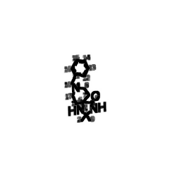 CC1(C)NC(=O)C2(CCN(Cc3ccccc3)CC2)N1